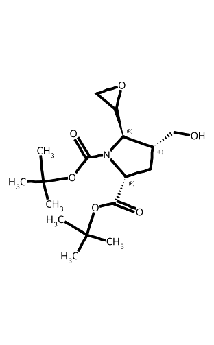 CC(C)(C)OC(=O)[C@H]1C[C@@H](CO)[C@H](C2CO2)N1C(=O)OC(C)(C)C